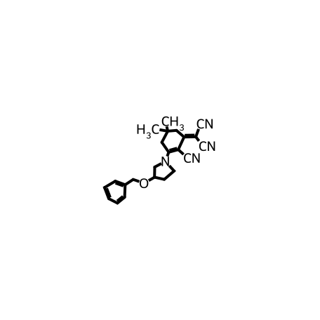 CC1(C)CC(=C(C#N)C#N)C(C#N)=C(N2CCC(OCc3ccccc3)C2)C1